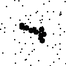 CC1(C)c2cc(-c3ccc(C45CC6CC(CC(C6)C4)C5)cc3)ccc2-c2ccc(N(c3ccc4c(c3)oc3ccccc34)c3ccccc3-c3ccccc3)cc21